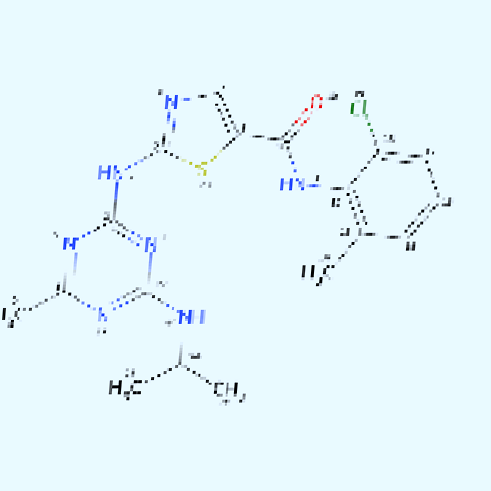 Cc1nc(Nc2ncc(C(=O)Nc3c(C)cccc3Cl)s2)nc(NC(C)C)n1